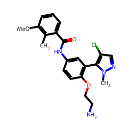 COc1cccc(C(=O)Nc2ccc(OCCN)c(-c3c(Cl)cnn3C)c2)c1C